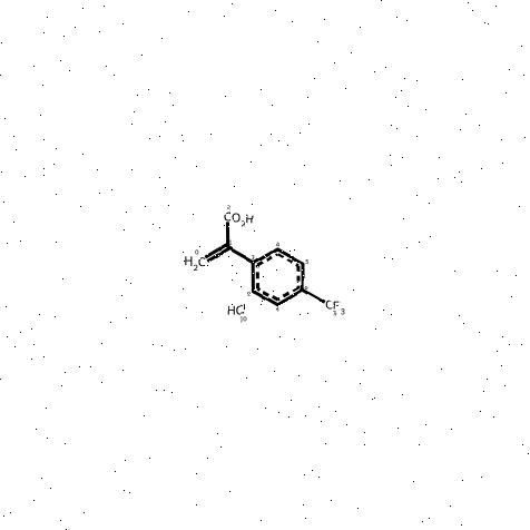 C=C(C(=O)O)c1ccc(C(F)(F)F)cc1.Cl